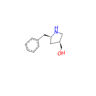 OC[C@@H]1CN[C@H](Cc2ccccc2)C1